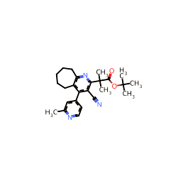 Cc1cc(-c2c(C#N)c(C(C)(C)C(=O)OC(C)(C)C)nc3c2CCCCC3)ccn1